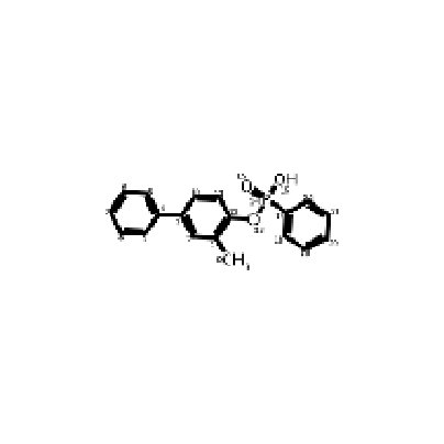 Cc1cc(-c2ccccc2)ccc1OP(=O)(O)c1ccccc1